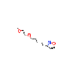 COCCOCCCCCc1ccon1